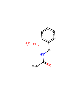 CNC(=O)N[B]c1ccccc1.O.O